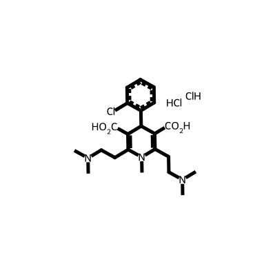 CN(C)CCC1=C(C(=O)O)C(c2ccccc2Cl)C(C(=O)O)=C(CCN(C)C)N1C.Cl.Cl